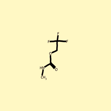 CNC(=O)OCC(F)(F)F